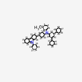 CC1C=CC=C2C1c1cc(-c3ccc4c5ccccc5n(C5=CCCC=C5)c4c3)ccc1N2C1=CC(c2ccccc2)=CC(c2ccccc2)C1